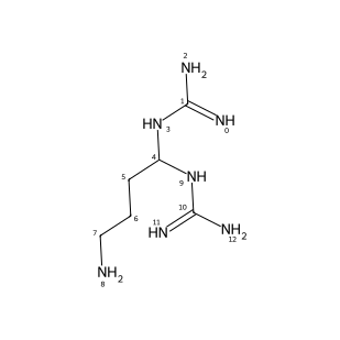 N=C(N)NC(CCCN)NC(=N)N